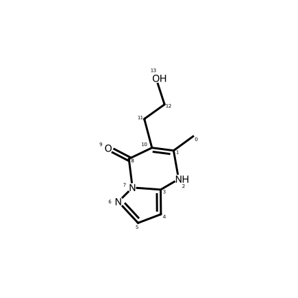 Cc1[nH]c2ccnn2c(=O)c1CCO